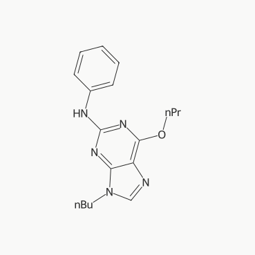 CCCCn1cnc2c(OCCC)nc(Nc3ccccc3)nc21